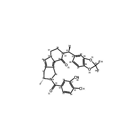 C[C@@H]1Cc2nn3c(c2CN1C(=O)c1ccc(Cl)c(C#N)c1)C(=O)N([C@@H](C)c1ccc2c(c1)OC(F)(F)O2)CC3